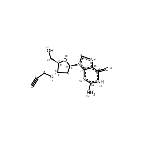 C#CCO[C@H]1C[C@H](n2cnc3c(=O)[nH]c(N)nc32)O[C@@H]1CO